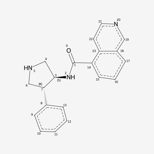 O=C(N[C@@H]1CNC[C@H]1c1ccccc1)c1cccc2cnccc12